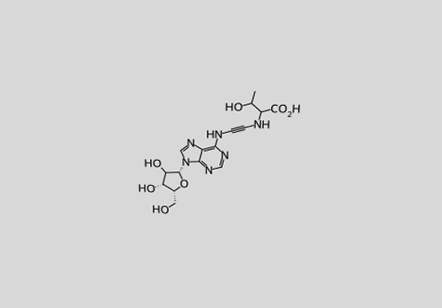 CC(O)C(NC#CNc1ncnc2c1ncn2[C@@H]1O[C@H](CO)[C@H](O)C1O)C(=O)O